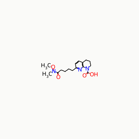 CON(C)C(=O)CCCCc1ccc2c(n1)N(C(=O)O)CCC2